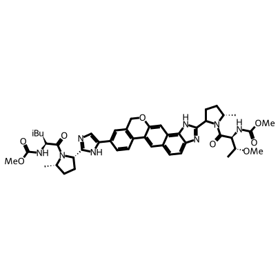 CC[C@H](C)[C@H](NC(=O)OC)C(=O)N1[C@@H](C)CC[C@H]1c1ncc(-c2ccc3c(c2)COc2cc4c(ccc5nc(C6CC[C@H](C)N6C(=O)[C@@H](NC(=O)OC)[C@@H](C)OC)[nH]c54)cc2-3)[nH]1